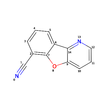 N#Cc1cccc2c1oc1cccnc12